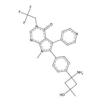 Cn1c(-c2ccc(C3(N)CC(C)(O)C3)cc2)c(-c2ccncc2)c2c(=O)n(CC(F)(F)F)cnc21